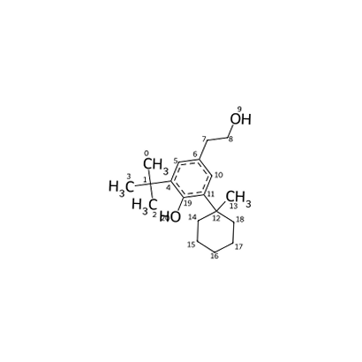 CC(C)(C)c1cc(CCO)cc(C2(C)CCCCC2)c1O